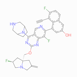 C#Cc1c(F)ccc2cc(O)cc(-c3ncc4c(N5C6CCC5CNC6)nc(OC[C@]56CC(=C)CN5C[C@@H](F)C6)nc4c3F)c12